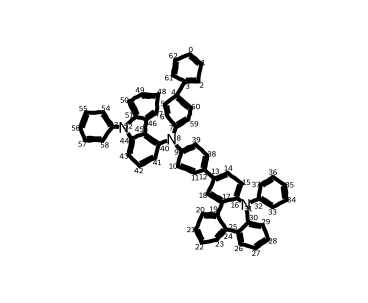 c1ccc(-c2ccc(N(c3ccc(-c4ccc5c(c4)-c4ccccc4-c4ccccc4N5c4ccccc4)cc3)c3cccc4c3c3ccccc3n4-c3ccccc3)cc2)cc1